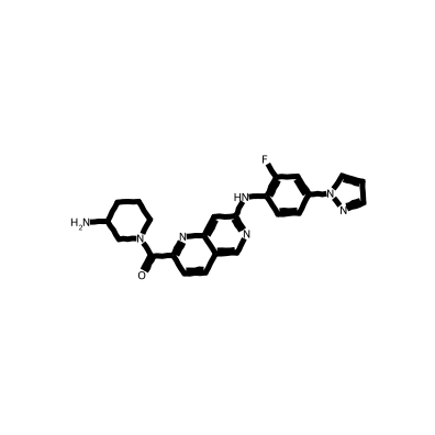 NC1CCCN(C(=O)c2ccc3cnc(Nc4ccc(-n5cccn5)cc4F)cc3n2)C1